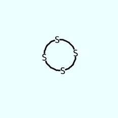 C1CSCCCSCCCSCCCSC1